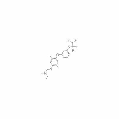 CCN(C)C=Nc1cc(C)c(Oc2cccc(SC(F)(F)C(F)F)c2)cc1C